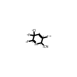 N#CC1N=C(F)C(F)(Cl)C=C1F